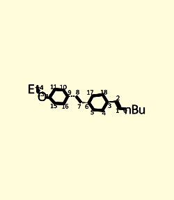 CCCC/C=C/[C@H]1CC[C@H](CC[C@H]2CC[C@H](OCC)CC2)CC1